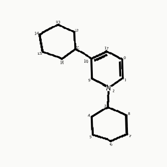 C1=CN(C2CCCCC2)CC(C2CCCCC2)=C1